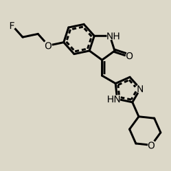 O=C1Nc2ccc(OCCF)cc2C1=Cc1cnc(C2CCOCC2)[nH]1